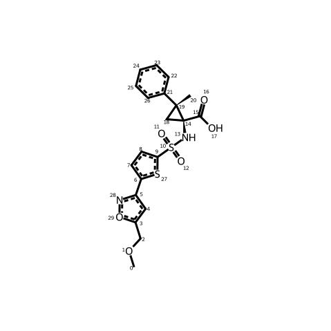 COCc1cc(-c2ccc(S(=O)(=O)N[C@@]3(C(=O)O)C[C@]3(C)c3ccccc3)s2)no1